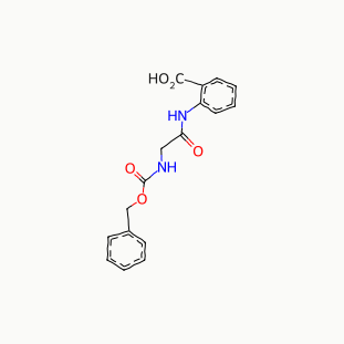 O=C(CNC(=O)OCc1ccccc1)Nc1ccccc1C(=O)O